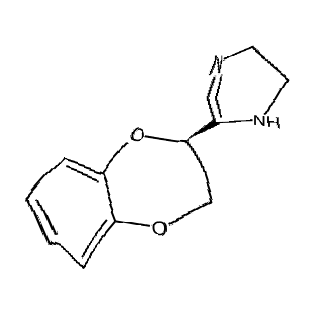 c1ccc2c(c1)OC[C@H](C1=NCCN1)O2